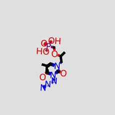 Cc1cn(CC(C)OCP(=O)(O)O)c(=O)n(N=[N+]=[N-])c1=O